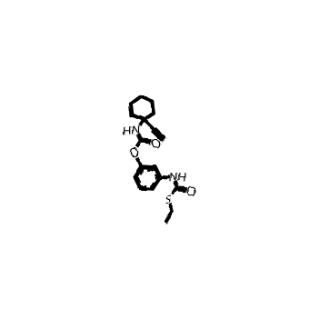 C#CC1(NC(=O)Oc2cccc(NC(=O)SCC)c2)CCCCC1